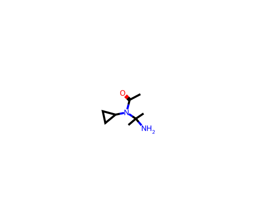 CC(=O)N(C1CC1)C(C)(C)N